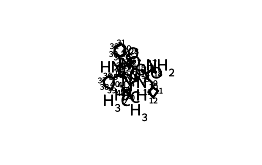 CC1(C)C2C(C(=O)NC(CC3CCC3)C(=O)C(N)=O)N(C(=O)[C@@H](NC3=NS(=O)(=O)c4ccccc43)C3CCCCC3)C[C@@H]21